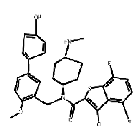 CN[C@H]1CC[C@@H](N(Cc2cc(-c3ccc(O)cc3)ccc2OC)C(=O)c2sc3c(F)ccc(F)c3c2Cl)CC1